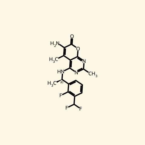 Cc1nc(N[C@H](C)c2cccc(C(F)F)c2F)c2c(C)c(N)c(=O)oc2n1